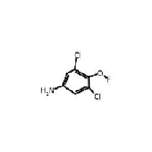 Nc1cc(Cl)c(OF)c(Cl)c1